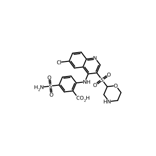 NS(=O)(=O)c1ccc(Nc2c(S(=O)(=O)C3CNCCO3)cnc3ccc(Cl)cc23)c(C(=O)O)c1